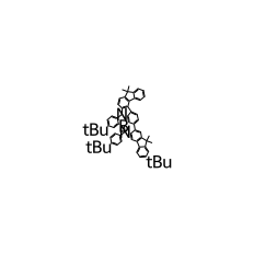 CC(C)(C)c1ccc(N2B3c4cc(C(C)(C)C)ccc4-n4c5ccc6c(c5c5ccc(c3c54)-c3cc4c(cc32)-c2ccc(C(C)(C)C)cc2C4(C)C)-c2ccccc2C6(C)C)cc1